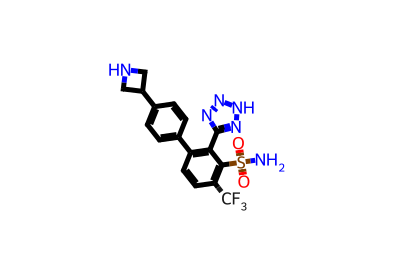 NS(=O)(=O)c1c(C(F)(F)F)ccc(-c2ccc(C3CNC3)cc2)c1-c1nn[nH]n1